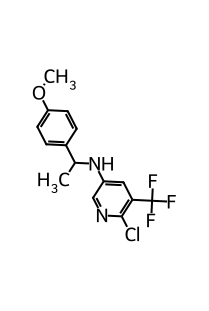 COc1ccc(C(C)Nc2cnc(Cl)c(C(F)(F)F)c2)cc1